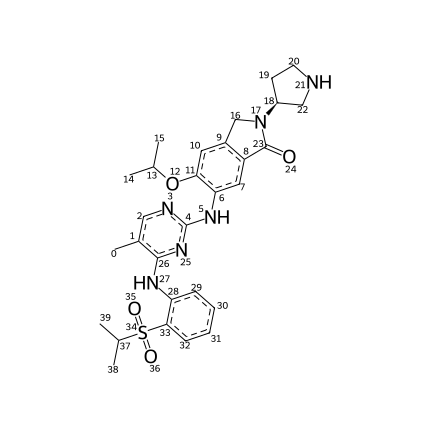 Cc1cnc(Nc2cc3c(cc2OC(C)C)CN([C@H]2CCNC2)C3=O)nc1Nc1ccccc1S(=O)(=O)C(C)C